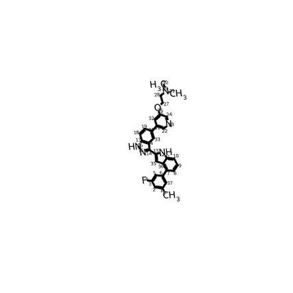 Cc1cc(F)cc(-c2cccc3[nH]c(-c4n[nH]c5ccc(-c6cncc(OCCN(C)C)c6)cc45)cc23)c1